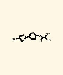 CCCCc1cnc(-c2ccc(OC(=O)C(CCC)CCC)cc2)nc1